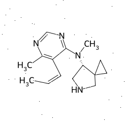 C/C=C\c1c(C)ncnc1N(C)[C@H]1CNCC12CC2